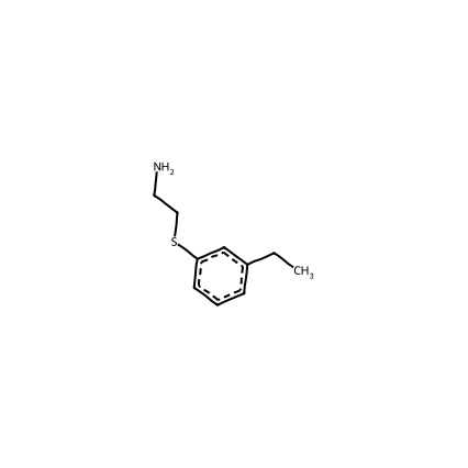 CCc1cccc(SCCN)c1